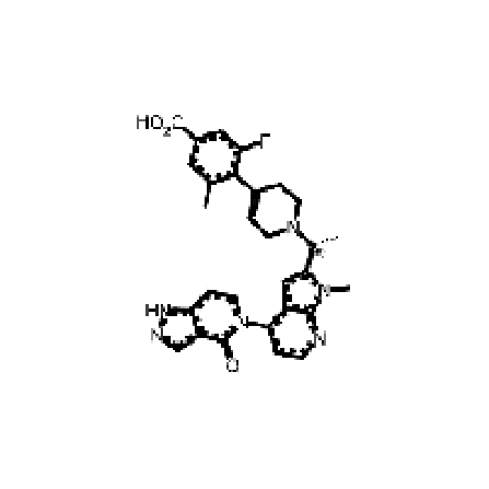 Cc1cc(C(=O)O)cc(F)c1C1=CCN([C@H](C)c2cc3c(-n4ccc5[nH]ncc5c4=O)ccnc3n2C)CC1